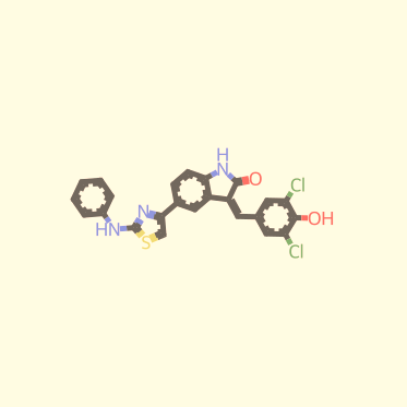 O=C1Nc2ccc(-c3csc(Nc4ccccc4)n3)cc2C1=Cc1cc(Cl)c(O)c(Cl)c1